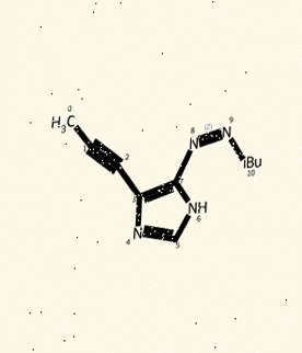 CC#Cc1nc[nH]c1/N=N\C(C)CC